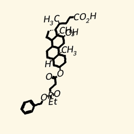 CCP(=O)(CCC(=O)O[C@@H]1CC[C@]2(C)C3C[C@H](O)[C@@]4(C)C(CC[C@@H]4[C@H](C)CCC(=O)O)C3CC[C@@H]2C1)OCc1ccccc1